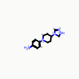 Nc1ccc(N2CCC(N3C=NNC3)CC2)cc1